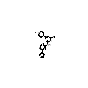 CCc1nc(Nc2nccc(-c3ccsc3)n2)nc(N2CCN(C)CC2)n1